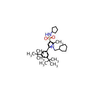 Cc1c(S(=O)(=O)NC2CCCC2)cc(-c2cc(C(C)(C)C)cc(C(C)(C)C)c2)n1CC1CCCCC1